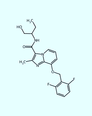 CCC(CO)NC(=O)c1c(C)nc2c(OCc3c(F)cccc3F)cccn12